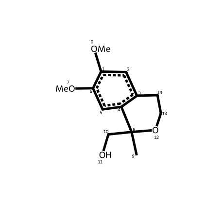 COc1cc2c(cc1OC)C(C)(CO)OCC2